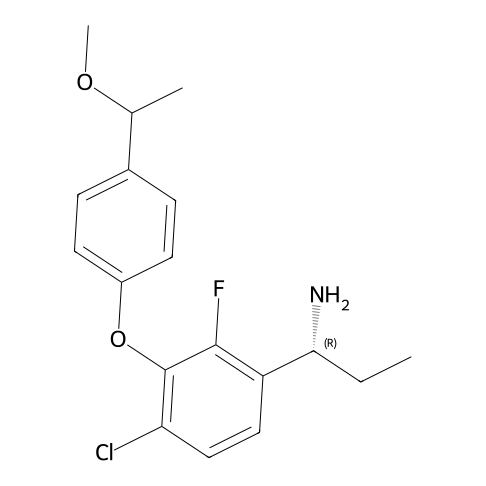 CC[C@@H](N)c1ccc(Cl)c(Oc2ccc(C(C)OC)cc2)c1F